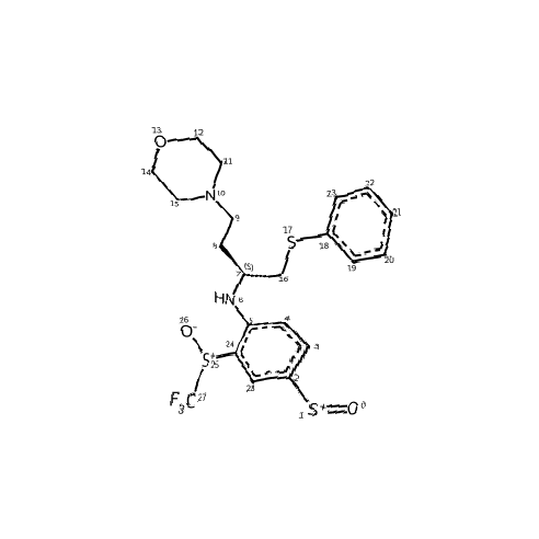 O=[S+]c1ccc(N[C@@H](CCN2CCOCC2)CSc2ccccc2)c([S+]([O-])C(F)(F)F)c1